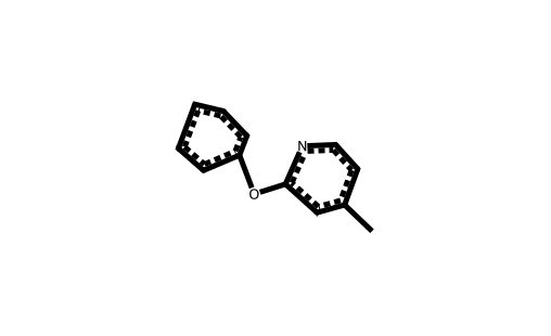 Cc1[c]c(Oc2ccccc2)ncc1